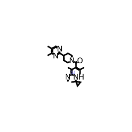 C=N/C(NC1(C)CC1)=C(\C)C(C(=O)N1CCC(c2ncc(C)c(C)n2)CC1)=C(C)C